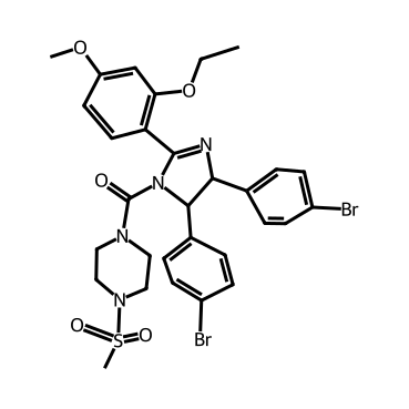 CCOc1cc(OC)ccc1C1=NC(c2ccc(Br)cc2)C(c2ccc(Br)cc2)N1C(=O)N1CCN(S(C)(=O)=O)CC1